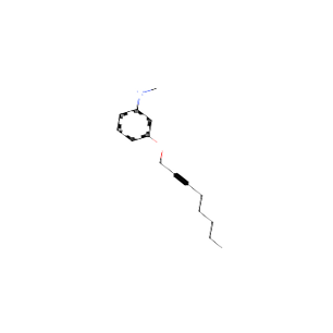 CCCCCC#CCOc1cccc(NC)c1